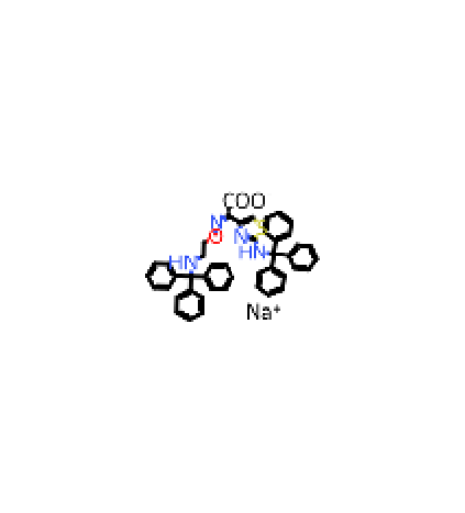 O=C([O-])C(=NOCCNC(c1ccccc1)(c1ccccc1)c1ccccc1)c1csc(NC(c2ccccc2)(c2ccccc2)c2ccccc2)n1.[Na+]